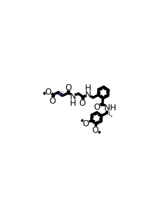 COC(=O)/C=C/C(=O)NCC(=O)NCc1ccccc1C(=O)N[C@H](C)c1ccc(OC)c(OC)c1